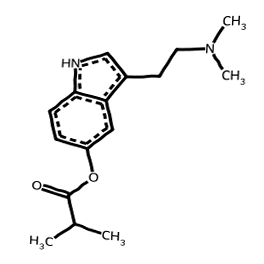 CC(C)C(=O)Oc1ccc2[nH]cc(CCN(C)C)c2c1